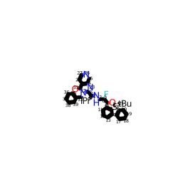 CC(C)C(NCC(F)CO[Si](c1ccccc1)(c1ccccc1)C(C)(C)C)c1nc2cnccc2c(=O)n1Cc1ccccc1